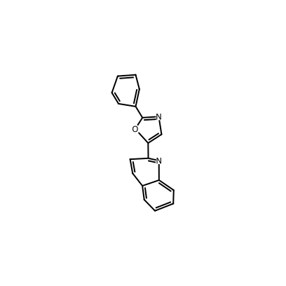 c1ccc(-c2ncc(-c3ccc4ccccc4n3)o2)cc1